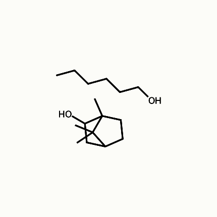 CC1(C)C2CCC1(C)C(O)C2.CCCCCCO